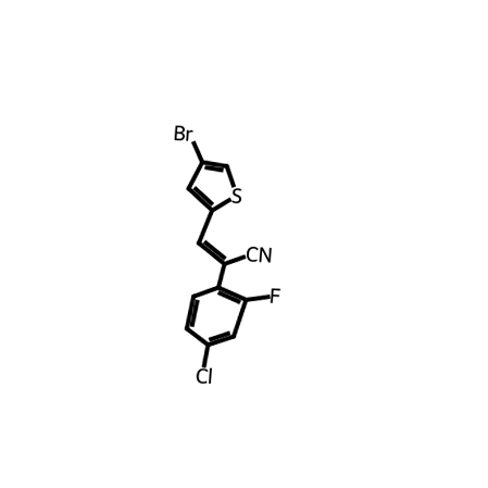 N#CC(=Cc1cc(Br)cs1)c1ccc(Cl)cc1F